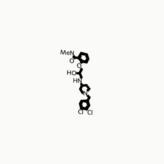 CNC(=O)c1ccccc1OCC(O)CNC1CCN(Cc2ccc(Cl)c(Cl)c2)CC1